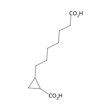 O=C(O)CCCCCCC1CC1C(=O)O